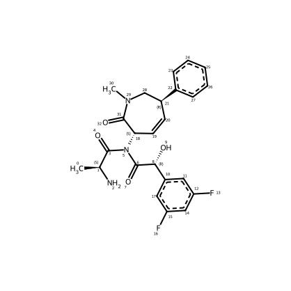 C[C@H](N)C(=O)N(C(=O)[C@H](O)c1cc(F)cc(F)c1)[C@H]1C=C[C@H](c2ccccc2)CN(C)C1=O